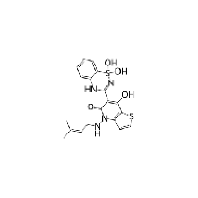 CC(C)=CCNn1c(=O)c(C2=NS(O)(O)c3ccccc3N2)c(O)c2sccc21